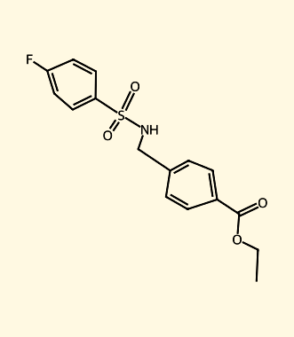 CCOC(=O)c1ccc(CNS(=O)(=O)c2ccc(F)cc2)cc1